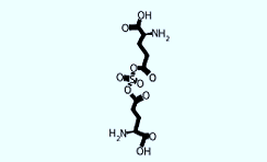 N[C@@H](CCC(=O)OS(=O)(=O)OC(=O)CC[C@H](N)C(=O)O)C(=O)O